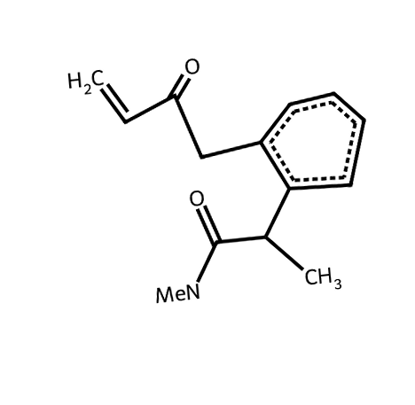 C=CC(=O)Cc1ccccc1C(C)C(=O)NC